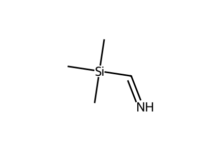 C[Si](C)(C)C=N